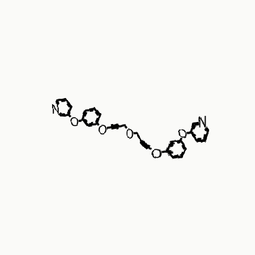 C(#COc1cccc(Oc2cccnc2)c1)COCC#COc1cccc(Oc2cccnc2)c1